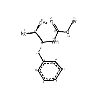 CC(=O)O[C@H](C#N)[C@@H](Cc1ccccc1)NC(=O)OC(C)C